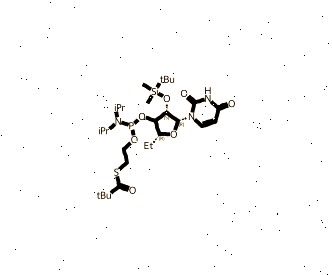 CC[C@H]1O[C@@H](n2ccc(=O)[nH]c2=O)[C@@H](O[Si](C)(C)C(C)(C)C)C1OP(OCCSC(=O)C(C)(C)C)N(C(C)C)C(C)C